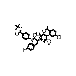 COc1nn(C(Cc2ccc(F)cc2)C(=O)Nc2ccc(C(=O)OC(C)(C)C)cc2)c(=O)cc1-c1cc(Cl)ccc1C(C)=O